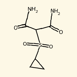 NC(=O)C(C(N)=O)S(=O)(=O)C1CC1